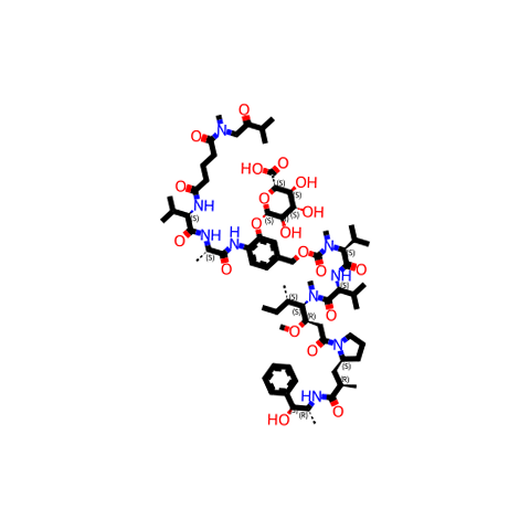 CC[C@H](C)[C@@H]([C@@H](CC(=O)N1CCC[C@H]1C[C@@H](C)C(=O)N[C@H](C)[C@@H](O)c1ccccc1)OC)N(C)C(=O)[C@@H](NC(=O)[C@H](C(C)C)N(C)C(=O)OCc1ccc(NC(=O)[C@H](C)NC(=O)[C@@H](NC(=O)CCCC(=O)N(C)CC(=O)C(C)C)C(C)C)c(O[C@@H]2O[C@H](C(=O)O)[C@@H](O)[C@H](O)[C@H]2O)c1)C(C)C